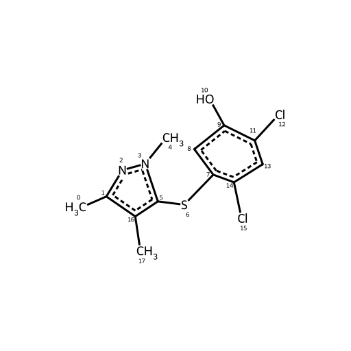 Cc1nn(C)c(Sc2cc(O)c(Cl)cc2Cl)c1C